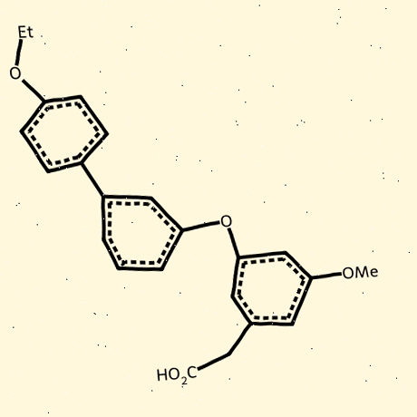 CCOc1ccc(-c2cccc(Oc3cc(CC(=O)O)cc(OC)c3)c2)cc1